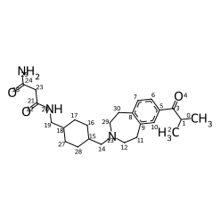 CC(C)C(=O)c1ccc2c(c1)CCN(CC1CCC(CNC(=O)CC(N)=O)CC1)CC2